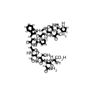 CC(C)C[C@H](NC(=O)[C@H](CC(N)=O)NC(=O)[C@H](C)NC(=O)[C@@H]1CCCN1)C(=O)N1CCC[C@H]1C(=O)N[C@@H](Cc1c[nH]c2ccccc12)C(=O)NCC(=O)N[C@@H](CO)C(=O)N[C@@H](CO)C(=O)N[C@@H](CC(N)=O)C(=O)N[C@H](C(=O)O)C(C)C